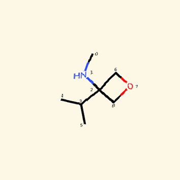 CNC1(C(C)C)COC1